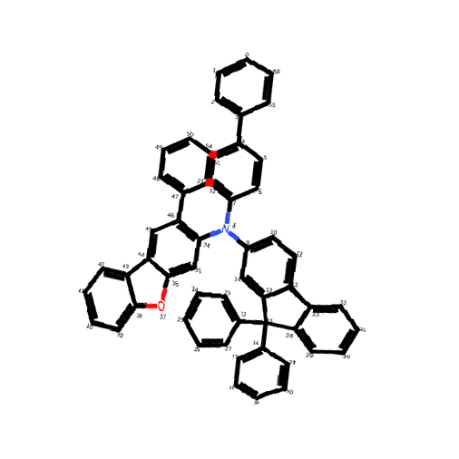 c1ccc(-c2ccc(N(c3ccc4c(c3)C(c3ccccc3)(c3ccccc3)c3ccccc3-4)c3cc4oc5ccccc5c4cc3-c3ccccc3)cc2)cc1